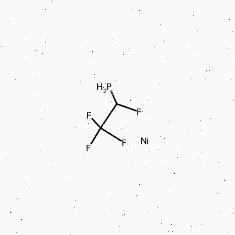 FC(P)C(F)(F)F.[Ni]